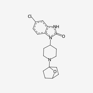 O=c1[nH]c2cc(Cl)ccc2n1C1CCN(C23CCC(CC2)O3)CC1